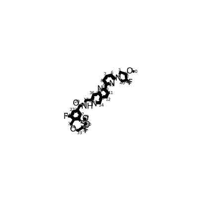 CO[C@H]1CN(c2cccc(-c3ccc4cnc(CNC(=O)c5cc(F)c6c(c5)S(=O)(=O)[C@@H](F)COC6)cc4n3)n2)C[C@@H]1F